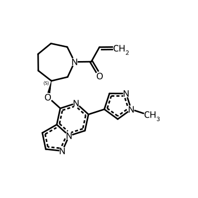 C=CC(=O)N1CCCC[C@H](Oc2nc(-c3cnn(C)c3)cn3nccc23)C1